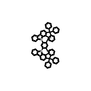 N#Cc1cc(C#N)c(-n2c3ccccc3c3ccc4c(c32)-c2ccccc2C4(c2ccccc2)c2ccccc2)cc1-n1c2ccccc2c2ccc3c(c21)-c1ccccc1C3(c1ccccc1)c1ccccc1